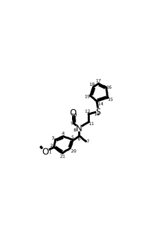 COc1ccc(C(C)N(C=O)CCSc2ccccc2)cc1